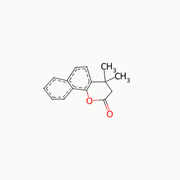 CC1(C)CC(=O)Oc2c1ccc1ccccc21